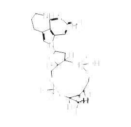 C=C/N=C1/NCCCc2cn([C@H]3C[C@@H]4OP(=O)(O)OC[C@H]5O[C@@H](I)[C@H](OP(=O)(O)OC[C@H]4O3)[C@@H]5O)c(C=C)c21